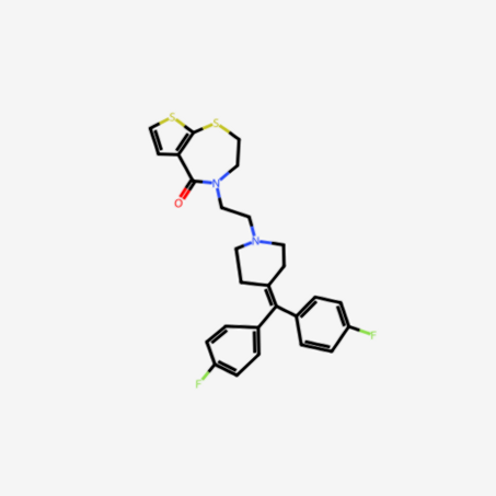 O=C1c2ccsc2SCCN1CCN1CCC(=C(c2ccc(F)cc2)c2ccc(F)cc2)CC1